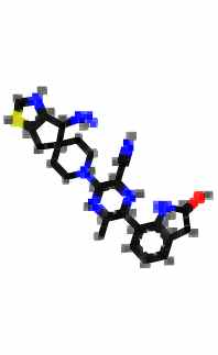 Cc1nc(N2CCC3(CC2)Cc2scnc2[C@H]3N)c(C#N)nc1-c1cccc2c1NC(=O)C2